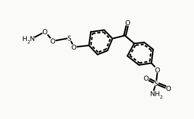 NOOSOc1ccc(C(=O)c2ccc(OS(N)(=O)=O)cc2)cc1